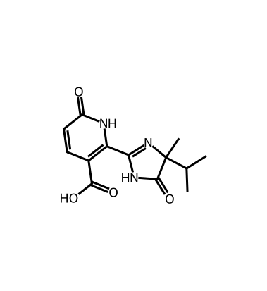 CC(C)C1(C)N=C(c2[nH]c(=O)ccc2C(=O)O)NC1=O